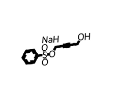 O=S(=O)(OCC#CCO)c1ccccc1.[NaH]